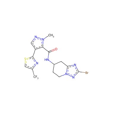 Cn1ncc(-c2nc(C(F)(F)F)cs2)c1C(=O)NC1CCn2nc(Br)nc2C1